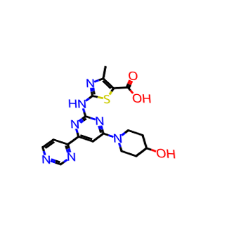 Cc1nc(Nc2nc(-c3ccncn3)cc(N3CCC(O)CC3)n2)sc1C(=O)O